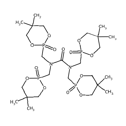 CC1(C)COP(=O)(CN(CP2(=O)OCC(C)(C)CO2)C(=O)N(CP2(=O)OCC(C)(C)CO2)CP2(=O)OCC(C)(C)CO2)OC1